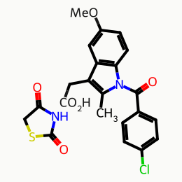 COc1ccc2c(c1)c(CC(=O)O)c(C)n2C(=O)c1ccc(Cl)cc1.O=C1CSC(=O)N1